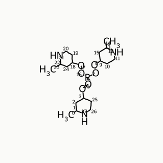 CC1CC(OOP(OOC2CCNC(C)C2)OOC2CCNC(C)C2)CCN1